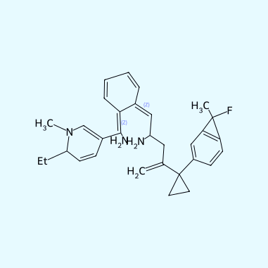 C=C(CC(N)/C=c1/cccc/c1=C(/N)C1=CN(C)C(CC)C=C1)C1(c2ccc3c(c2)C3(C)F)CC1